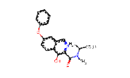 CC(C(=O)O)N(C)C(=O)c1ncc2cc(Oc3ccccc3)ccc2c1O